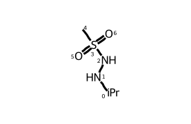 CC(C)NNS(C)(=O)=O